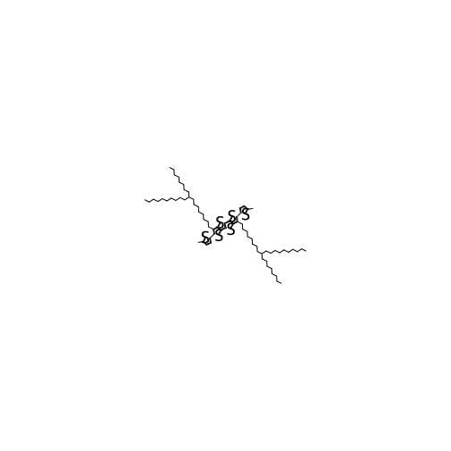 CCCCCCCCCCC(CCCCCCCC)CCCCCCCCc1c(-c2ccc(C)s2)sc2c1sc1c3sc(-c4ccc(C)s4)c(CCCCCCCCC(CCCCCCCC)CCCCCCCCCC)c3sc21